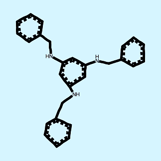 c1ccc(CNc2cc(NCc3ccccc3)cc(NCc3ccccc3)c2)cc1